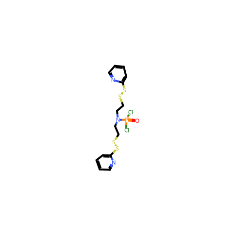 O=P(Cl)(Cl)N(CCSSc1ccccn1)CCSSc1ccccn1